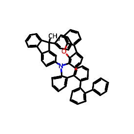 CC1(c2ccccc2)c2ccccc2-c2ccc(N(c3ccccc3-c3ccccc3-c3ccccc3-c3ccccc3)c3cccc4c3oc3ccccc34)cc21